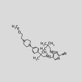 CCOCCN1CCN(c2ccc(C(C)(C)CNCc3cnc(C#N)nc3NCC(C)(C)C)cc2)CC1